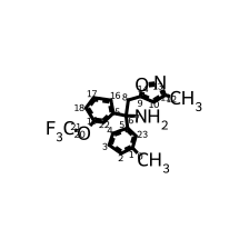 Cc1cccc(C(N)(Cc2cc(C)no2)c2cccc(OC(F)(F)F)c2)c1